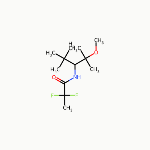 COC(C)(C)C(NC(=O)C(C)(F)F)C(C)(C)C